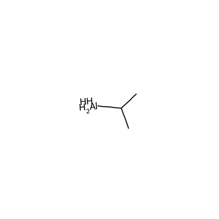 C[CH](C)[AlH2].[HH]